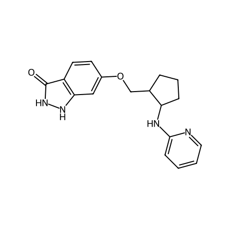 O=c1[nH][nH]c2cc(OCC3CCCC3Nc3ccccn3)ccc12